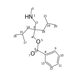 CNCC(COC(=O)c1ccccc1)(CC(C)C)CC(C)C